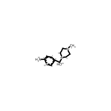 CN1CCN(Cc2ccc(N)nc2)CC1.Cl